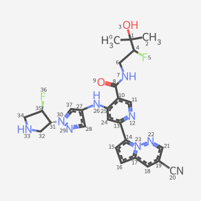 CC(C)(O)C(F)CNC(=O)c1cnc(-c2ccc3cc(C#N)cnn23)cc1Nc1cnn([C@@H]2CNC[C@H]2F)c1